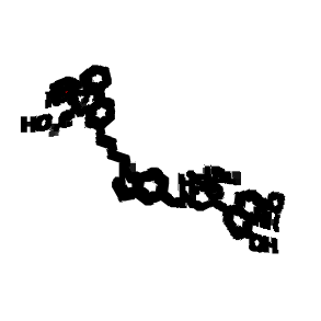 CC(C)(C)[Si](C)(C)O[C@H](CNCc1ccc2c(ccn2CC/C=C/c2ccc(-c3ccccc3)c(N(C(=O)O)[C@H]3CN4CCC3CC4)c2)c1)c1ccc(O)c2[nH]c(=O)ccc12